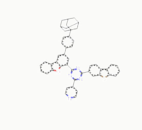 c1ccc2c(c1)oc1c(-c3nc(-c4ccncc4)nc(-c4ccc5c(c4)sc4ccccc45)n3)cc(-c3ccc(C45CC6CC(CC(C6)C4)C5)cc3)cc12